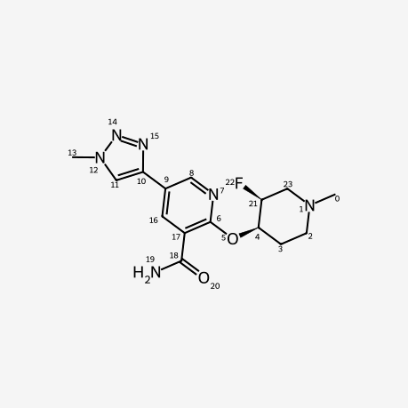 CN1CC[C@@H](Oc2ncc(-c3cn(C)nn3)cc2C(N)=O)[C@@H](F)C1